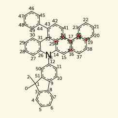 CC1(C)c2ccccc2-c2ccc(N(c3ccc(-c4ccccc4)cc3)c3ccccc3-c3cc(-c4ccccc4)ccc3-c3ccccc3)cc21